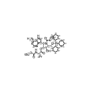 CC(C)[C@H](NC(=O)OC(C)(C)C)C(=O)OC1C(O)C(COC(c2ccccc2)(c2ccccc2)c2ccccc2)N(C(=O)OC(C)(C)C)C1c1c[nH]c2c(N)ncnc12